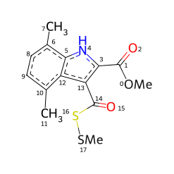 COC(=O)c1[nH]c2c(C)ccc(C)c2c1C(=O)SSC